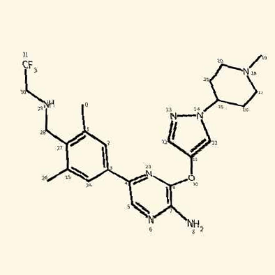 Cc1cc(-c2cnc(N)c(Oc3cnn(C4CCN(C)CC4)c3)n2)cc(C)c1CNCC(F)(F)F